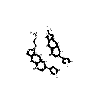 COCCn1ncc2cc3ncc(-c4ccsc4)nc3cc21.Cn1cc2cc3ncc(-c4ccsc4)nc3cc2n1